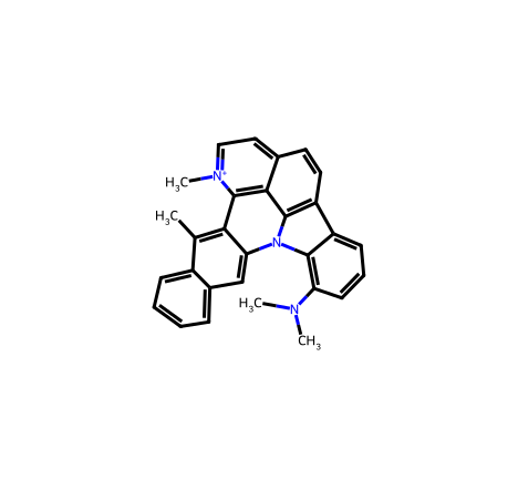 Cc1c2ccccc2cc2c1c1c3c(ccc4c5cccc(N(C)C)c5n2c43)cc[n+]1C